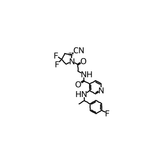 CC(Nc1cnccc1C(=O)NCC(=O)N1CC(F)(F)C[C@H]1C#N)c1ccc(F)cc1